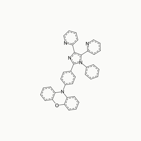 c1ccc(-n2c(-c3ccc(N4c5ccccc5Oc5ccccc54)cc3)nc(-c3ccccn3)c2-c2ccccn2)cc1